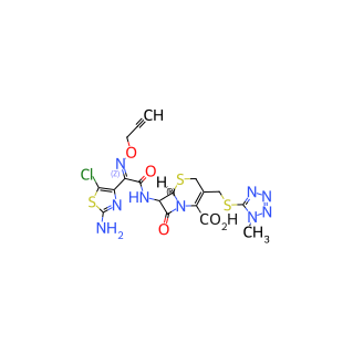 C#CCO/N=C(\C(=O)NC1C(=O)N2C(C(=O)O)=C(CSc3nnnn3C)CS[C@H]12)c1nc(N)sc1Cl